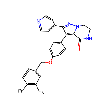 CC(C)c1ccc(COc2ccc(-c3c(-c4ccncc4)nn4c3C(=O)NCC4)cc2)cc1C#N